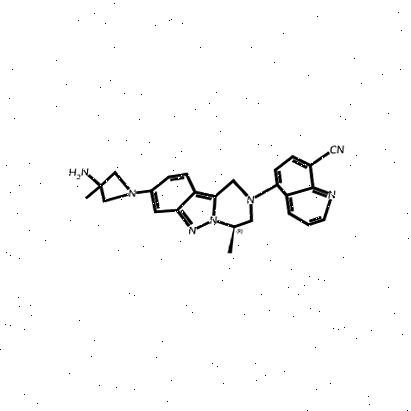 C[C@@H]1CN(c2ccc(C#N)c3ncccc23)Cc2c3ccc(N4CC(C)(N)C4)cc3nn21